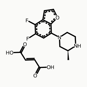 C[C@H]1CN(c2cc(F)c(F)c3ccoc23)CCN1.O=C(O)C=CC(=O)O